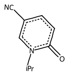 CC(C)n1cc(C#N)ccc1=O